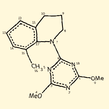 COc1nc(OC)nc(N2CCCc3cccc(C)c32)n1